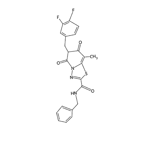 CC1=C2SC(C(=O)NCc3ccccc3)=NN2C(=O)C(Cc2ccc(F)c(F)c2)C1=O